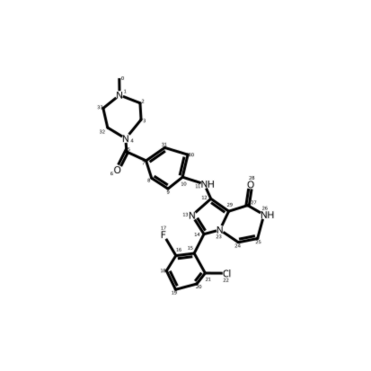 CN1CCN(C(=O)c2ccc(Nc3nc(-c4c(F)cccc4Cl)n4cc[nH]c(=O)c34)cc2)CC1